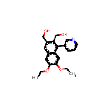 CCOc1cc2cc(CO)c(CO)c(-c3cccnc3)c2cc1OCC